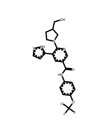 O=C(Nc1ccc(OC(F)(F)Cl)cc1)c1cnc(N2CCC(CO)C2)c(-c2ccn[nH]2)c1